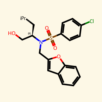 CC(C)C[C@H](CO)N(Cc1cc2ccccc2o1)S(=O)(=O)c1ccc(Cl)cc1